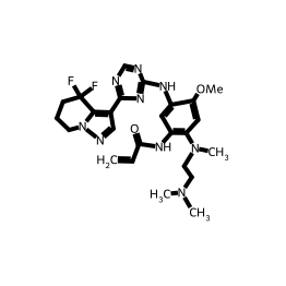 C=CC(=O)Nc1cc(Nc2ncnc(-c3cnn4c3C(F)(F)CCC4)n2)c(OC)cc1N(C)CCN(C)C